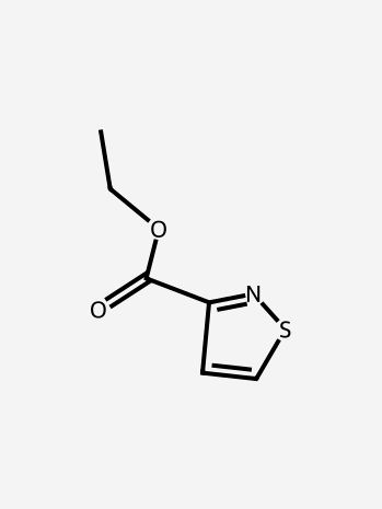 CCOC(=O)c1ccsn1